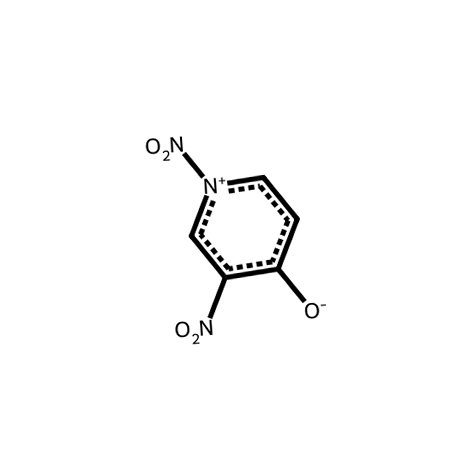 O=[N+]([O-])c1c[n+]([N+](=O)[O-])ccc1[O-]